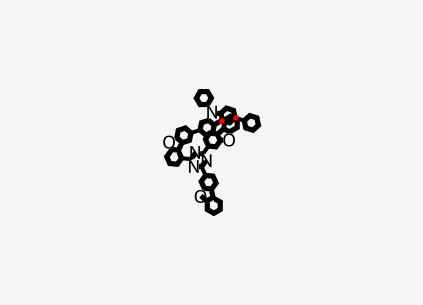 c1ccc(-c2ccc3c(c2)c2ccc(-c4ccc5oc6cccc(-c7nc(-c8ccc9c(c8)oc8ccccc89)nc(-c8ccc9c(c8)oc8ccccc89)n7)c6c5c4)cc2n3-c2ccccc2)cc1